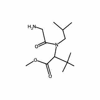 COC(=O)C(N(CC(C)C)C(=O)CN)C(C)(C)C